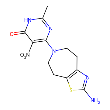 Cc1nc(N2CCc3nc(N)sc3CC2)c([N+](=O)[O-])c(=O)[nH]1